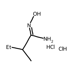 CCC(C)C(N)=NO.Cl.Cl